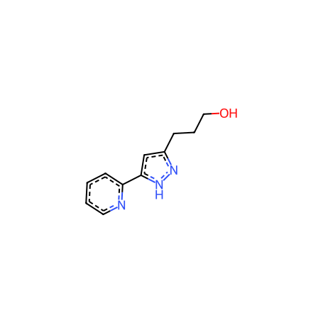 OCCCc1cc(-c2ccccn2)[nH]n1